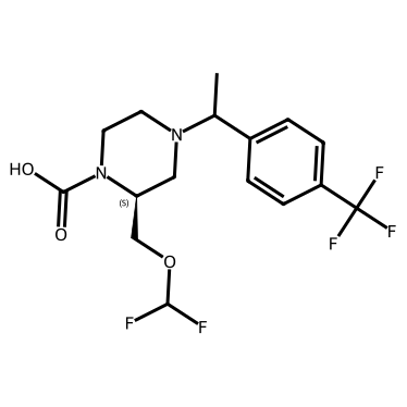 CC(c1ccc(C(F)(F)F)cc1)N1CCN(C(=O)O)[C@H](COC(F)F)C1